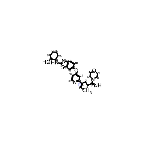 C/C=C(\CCC(=N)N1CCOCC1)c1cc(Oc2ccc3nc(N[C@@H]4CCCC[C@H]4O)sc3c2)ccn1